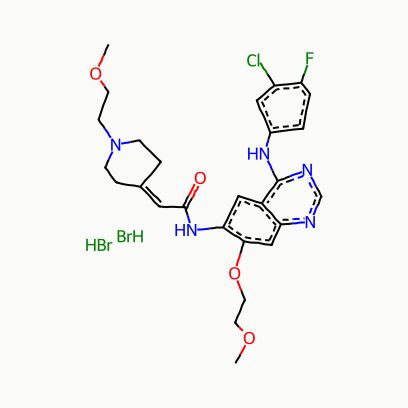 Br.Br.COCCOc1cc2ncnc(Nc3ccc(F)c(Cl)c3)c2cc1NC(=O)C=C1CCN(CCOC)CC1